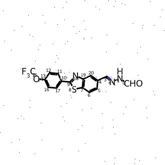 O=CN/N=C/c1ccc2sc(-c3ccc(OC(F)(F)F)cc3)nc2c1